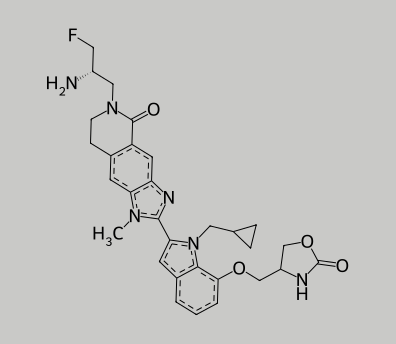 Cn1c(-c2cc3cccc(OCC4COC(=O)N4)c3n2CC2CC2)nc2cc3c(cc21)CCN(C[C@H](N)CF)C3=O